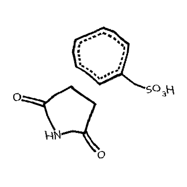 O=C1CCC(=O)N1.O=S(=O)(O)c1ccccc1